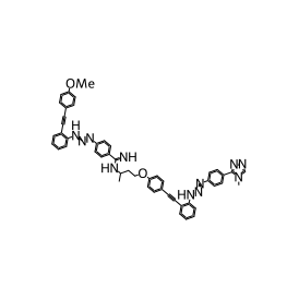 COc1ccc(C#Cc2ccccc2N/N=N/c2ccc(C(=N)NC(C)CCOc3ccc(C#Cc4ccccc4N/N=N/c4ccc(-c5nncn5C)cc4)cc3)cc2)cc1